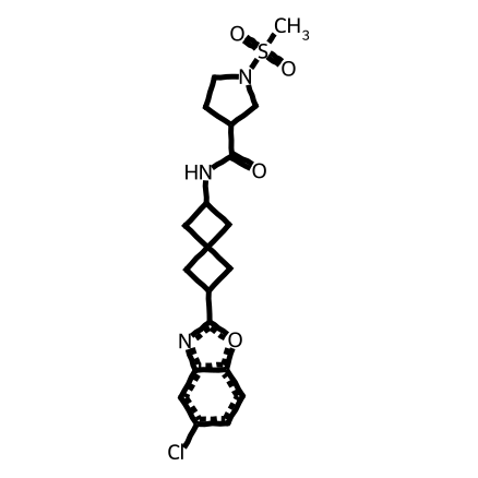 CS(=O)(=O)N1CCC(C(=O)NC2CC3(C2)CC(c2nc4cc(Cl)ccc4o2)C3)C1